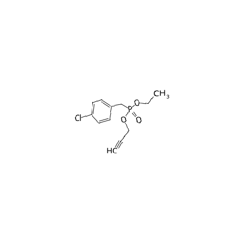 C#CCOP(=O)(Cc1ccc(Cl)cc1)OCC